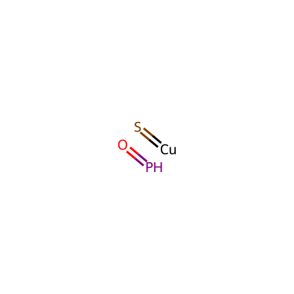 O=P.[S]=[Cu]